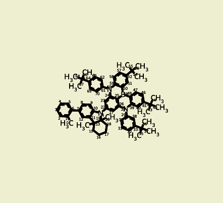 Cc1ccccc1-c1ccc2c(c1)C1(C)CCCCC1(C)N2c1cc2c3c(c1)N(c1cccc(C(C)(C)C)c1)c1cc(C(C)(C)C)ccc1B3c1cc(C(C)(C)C)ccc1N2c1ccc(C(C)(C)C)cc1